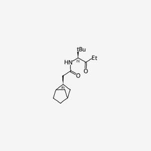 CCC(=O)[C@@H](NC(=O)C[C@H]1CC2CCC1C2)C(C)(C)C